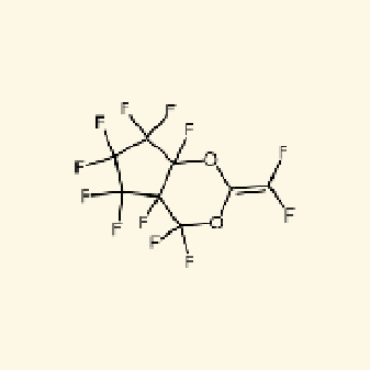 FC(F)=C1OC(F)(F)C2(F)C(F)(F)C(F)(F)C(F)(F)C2(F)O1